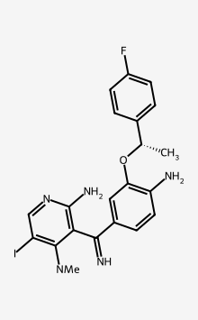 CNc1c(I)cnc(N)c1C(=N)c1ccc(N)c(O[C@@H](C)c2ccc(F)cc2)c1